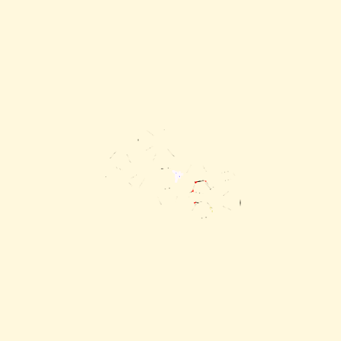 CC(C)(C)c1ccc2c(c1)C1(c3ccccc3Oc3c(N(c4ccc5c(c4)C4(c6ccccc6Sc6ccccc64)c4ccccc4-5)c4ccccc4-c4cccc5ccccc45)cccc31)c1cc(C(C)(C)C)ccc1-2